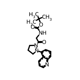 CC(C)(C)OC(=O)NCC(=O)N1CCCN1c1cccc2ncccc12